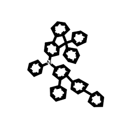 c1ccc(-c2ccc(-c3ccc(N(c4ccccc4)c4ccc5c(c4)C(c4ccccc4)(c4ccccc4)c4ccccc4-5)cc3-c3ccccc3)cc2)cc1